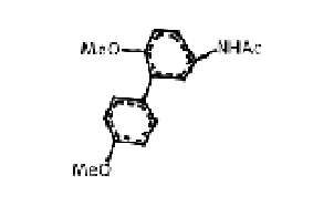 COc1ccc(-c2cc(NC(C)=O)ccc2OC)cc1